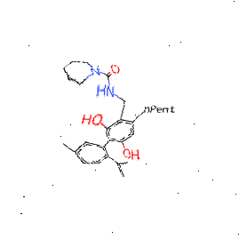 C=C(C)c1ccc(C)cc1-c1c(O)cc(CCCCC)c(CNC(=O)N2CCCCC2)c1O